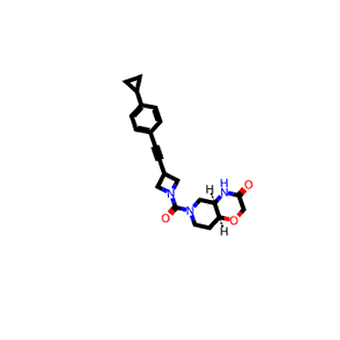 O=C1CO[C@H]2CCN(C(=O)N3CC(C#Cc4ccc(C5CC5)cc4)C3)C[C@H]2N1